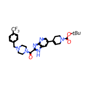 CC(C)(C)OC(=O)N1CC=C(c2cnc3nc(C(=O)N4CCN(Cc5ccc(C(F)(F)F)cc5)CC4)[nH]c3c2)CC1